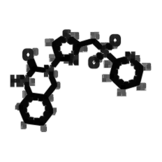 O=C1Nc2ccccc2CN1c1csc(CS(=O)(=O)c2ccccn2)n1